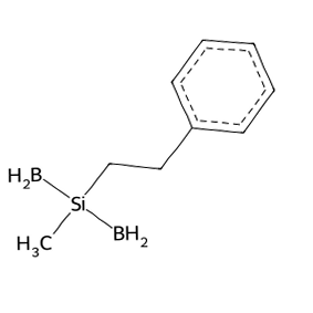 B[Si](B)(C)CCc1ccccc1